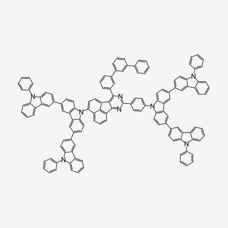 c1ccc(-c2cccc(-c3cccc(-c4nc(-c5ccc(-n6c7ccc(-c8ccc9c(c8)c8ccccc8n9-c8ccccc8)cc7c7cc(-c8ccc9c(c8)c8ccccc8n9-c8ccccc8)ccc76)cc5)nc5c4-c4ccc(-n6c7ccc(-c8ccc9c(c8)c8ccccc8n9-c8ccccc8)cc7c7cc(-c8ccc9c(c8)c8ccccc8n9-c8ccccc8)ccc76)c6cccc-5c46)c3)c2)cc1